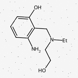 CCN(CCO)Cc1c(N)cccc1O